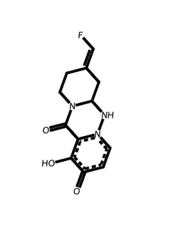 O=C1c2c(O)c(=O)ccn2NC2C/C(=C/F)CCN12